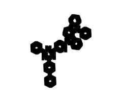 C1=Cc2c(c3ccc4c(c5ccccc5n4-c4ccc(-c5nc(-c6ccccc6)nc(-c6ccc(-c7ccccc7)cc6)n5)cn4)c3n2-c2ccccc2)CC1